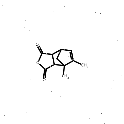 CC1=CC2CC1(C)C1C(=O)OC(=O)C21